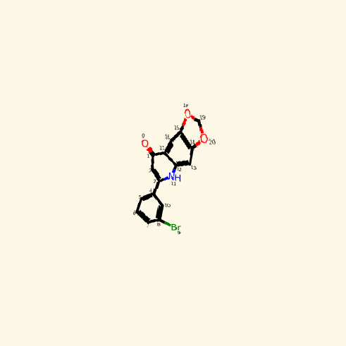 O=c1cc(-c2cccc(Br)c2)[nH]c2cc3c(cc12)OCO3